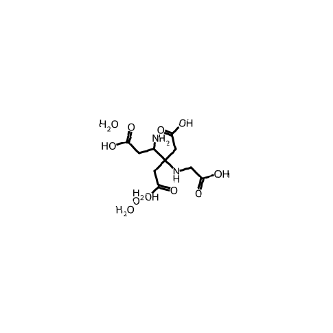 NC(CC(=O)O)C(CC(=O)O)(CC(=O)O)NCC(=O)O.O.O.O